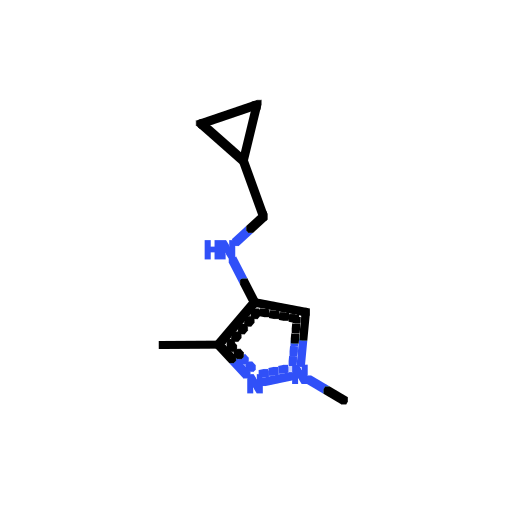 Cc1nn(C)cc1NCC1CC1